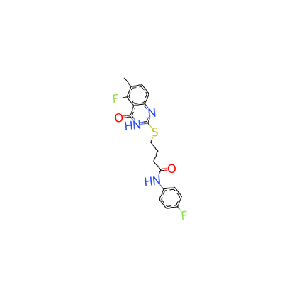 Cc1ccc2nc(SCCCC(=O)Nc3ccc(F)cc3)[nH]c(=O)c2c1F